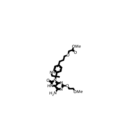 COCCOc1nc(N)c2[nH]c(=O)n(C(C)(CN)c3ccc(CCCOCC(=O)OC)cc3)c2n1